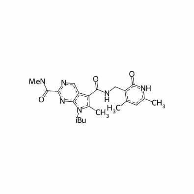 CCC(C)n1c(C)c(C(=O)NCc2c(C)cc(C)[nH]c2=O)c2cnc(C(=O)NC)nc21